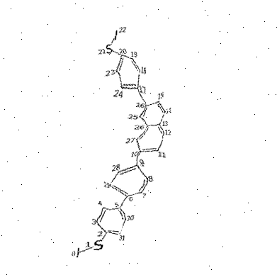 ISc1ccc(-c2ccc(-c3ccc4ccc(-c5ccc(SI)cc5)cc4c3)cc2)cc1